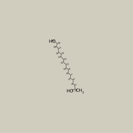 CC(O)CCCCCCCCCCCCCCCCCO